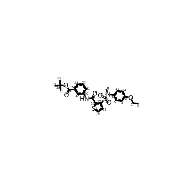 CCOc1ccc(N(C)S(=O)(=O)c2ccsc2C(=O)Nc2cccc(C(=O)OC(C)(C)C)c2)cc1